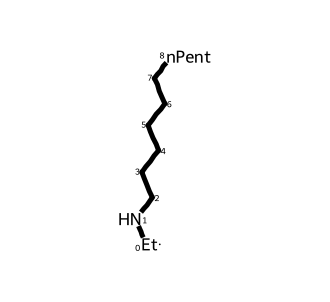 C[CH]NCCCCCCCCCCC